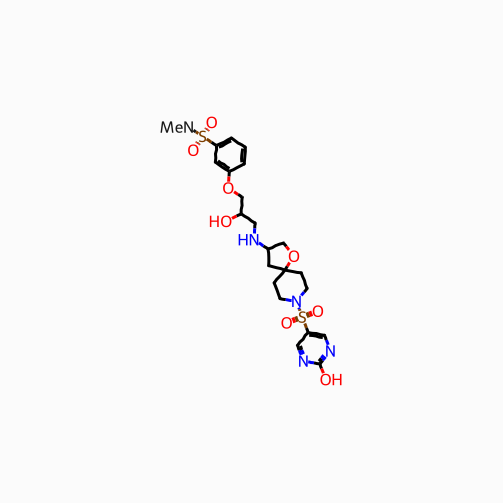 CNS(=O)(=O)c1cccc(OCC(O)CNC2COC3(CCN(S(=O)(=O)c4cnc(O)nc4)CC3)C2)c1